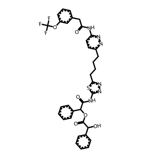 O=C(Cc1cccc(OC(F)(F)F)c1)Nc1ccc(CCCCc2nnc(NC(=O)C(OC(=O)C(O)c3ccccc3)c3ccccc3)s2)nn1